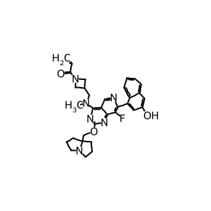 C=CC(=O)N1CC(CN(C)c2nc(OCC34CCCN3CCC4)nc3c(F)c(-c4cc(O)cc5ccccc45)ncc23)C1